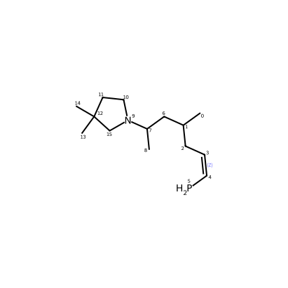 CC(C/C=C\P)CC(C)N1CCC(C)(C)C1